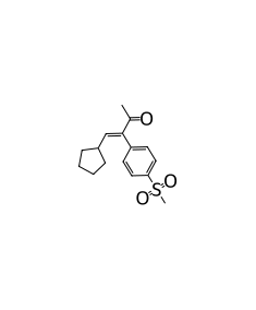 CC(=O)/C(=C/C1CCCC1)c1ccc(S(C)(=O)=O)cc1